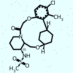 Cc1c(Cl)ccc2c1[C@H]1CC[C@H](CC1)OCC1[C@@H](NS(C)(=O)=O)CCCN1C(=O)CO2